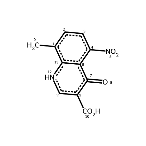 Cc1ccc([N+](=O)[O-])c2c(=O)c(C(=O)O)c[nH]c12